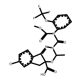 COC(=O)N(C(=O)N1N=C2c3ccc(Cl)cc3CC2(C(=O)O)OC1C)c1ccccc1OC(F)(F)F